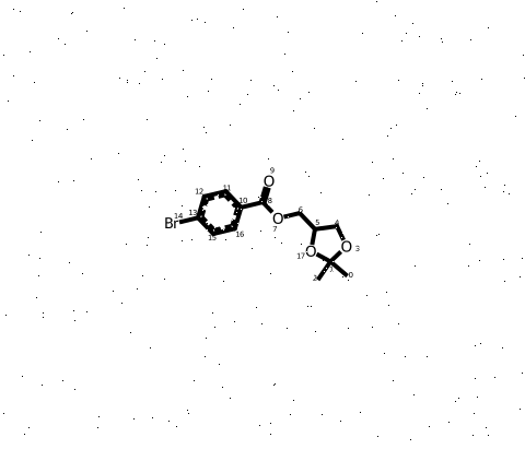 CC1(C)OCC(COC(=O)c2ccc(Br)cc2)O1